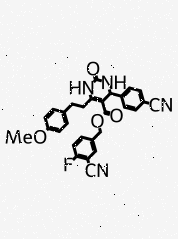 COc1ccc(CCC2=C(C(=O)OCc3ccc(F)c(C#N)c3)C(c3ccc(C#N)cc3)NC(=O)N2)cc1